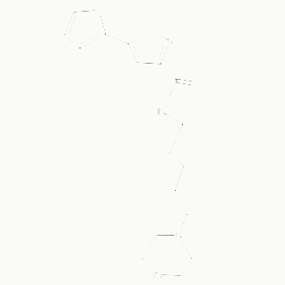 C[C@@H]1CNCCN1CCCCCNC(=O)c1cc(-c2cccs2)on1